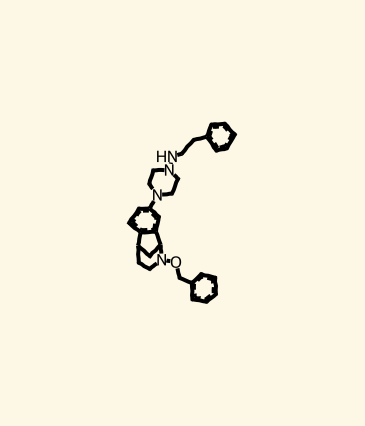 c1ccc(CCNN2CCN(c3ccc4c(c3)C3CC4CCN3OCc3ccccc3)CC2)cc1